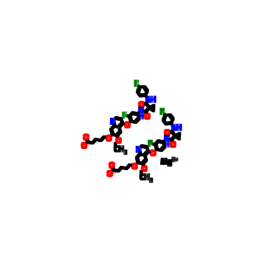 CCOc1cc2c(Oc3ccc(NC(=O)C4(C(=O)Nc5ccc(F)cc5)CC4)cc3F)ccnc2cc1OCCCCC(=O)[O-].CCOc1cc2c(Oc3ccc(NC(=O)C4(C(=O)Nc5ccc(F)cc5)CC4)cc3F)ccnc2cc1OCCCCC(=O)[O-].[Mg+2]